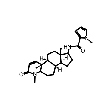 CN1C(=O)C=C[C@@]2(C)C1CC[C@@H]1[C@H]2CC[C@]2(C)C(NC(=O)c3cccn3C)CC[C@@H]12